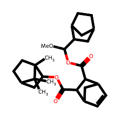 COC(OC(=O)C1C2C=CC(C2)C1C(=O)OC1CC2CCC1(C)C2(C)C)C1CC2CCC1C2